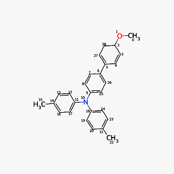 COC1C=CC(c2ccc(N(c3ccc(C)cc3)c3ccc(C)cc3)cc2)=CC1